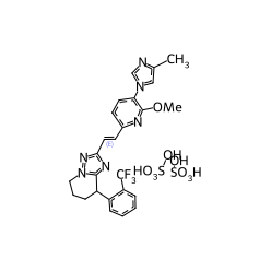 COc1nc(/C=C/c2nc3n(n2)CCCC3c2ccccc2C(F)(F)F)ccc1-n1cnc(C)c1.O=S(=O)(O)O.O=S(=O)(O)O